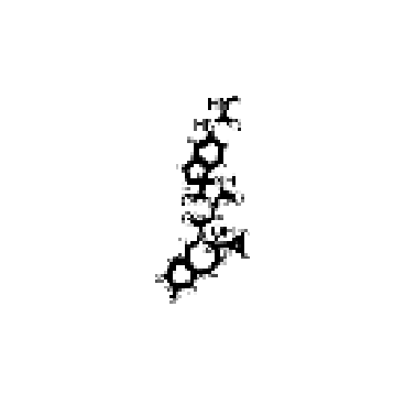 CNC(=O)Nc1ccc2c(c1)CCC21NC(=O)N(CC(=O)N2Cc3ccc(F)cc3CC[C@]2(O)C2CC2)C1=O